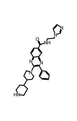 O=C(NCCn1ccnc1)c1ccc2nc(N3CCC(C4CCNCC4)CC3)c(-c3ccccc3)nc2c1